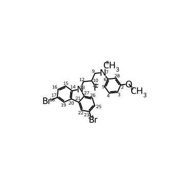 COc1cccc(N(C)CC(F)Cn2c3ccc(Br)cc3c3cc(Br)ccc32)c1